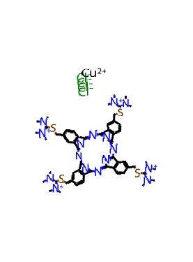 CN(C)C(SCc1ccc2c(c1)C1=NC2=NC2=NC(=NC3=NC(=NC4=NC(=N1)c1ccc(CSC(N(C)C)=[N+](C)C)cc14)c1ccc(CSC(N(C)C)=[N+](C)C)cc13)c1cc(CSC(N(C)C)=[N+](C)C)ccc12)=[N+](C)C.[Cl-].[Cl-].[Cl-].[Cl-].[Cu+2]